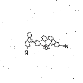 N#Cc1ccc2c(c1)c1ccccc1n2-c1ccccc1-c1ccccc1-c1cc(-n2c3ccccc3c3ccc(C#N)cc32)ccc1C#N